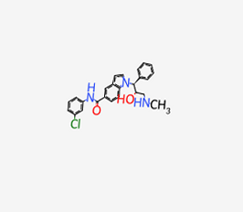 CNC[C@@H](O)[C@H](c1ccccc1)n1ccc2cc(C(=O)Nc3cccc(Cl)c3)ccc21